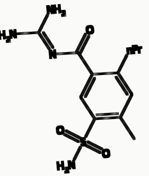 CCCc1cc(C)c(S(N)(=O)=O)cc1C(=O)N=C(N)N